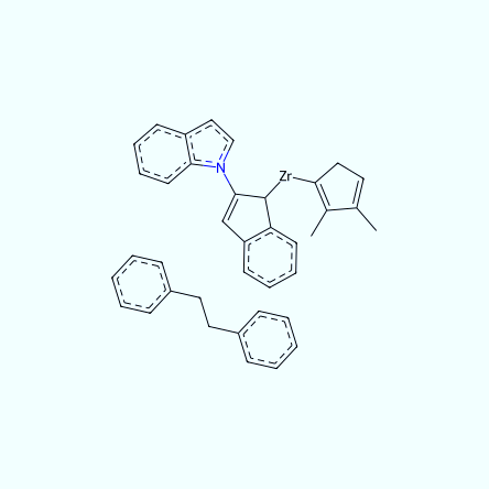 CC1=CC[C]([Zr][CH]2C(n3ccc4ccccc43)=Cc3ccccc32)=C1C.c1ccc(CCc2ccccc2)cc1